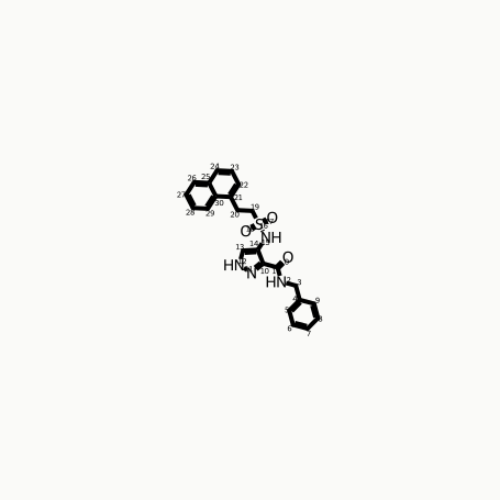 O=C(NCc1ccccc1)c1n[nH]cc1NS(=O)(=O)CCc1cccc2ccccc12